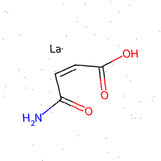 NC(=O)/C=C\C(=O)O.[La]